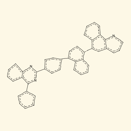 c1ccc(-c2nc(-c3ccc(-c4ccc(-c5cc6cccnc6c6ccccc56)c5ccccc45)cc3)nc3ccccc23)cc1